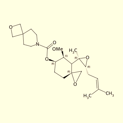 CO[C@H]1C([C@@]2(C)O[C@@H]2CC=C(C)C)[C@]2(CC[C@H]1OC(=O)N1CCC3(CC1)COC3)CO2